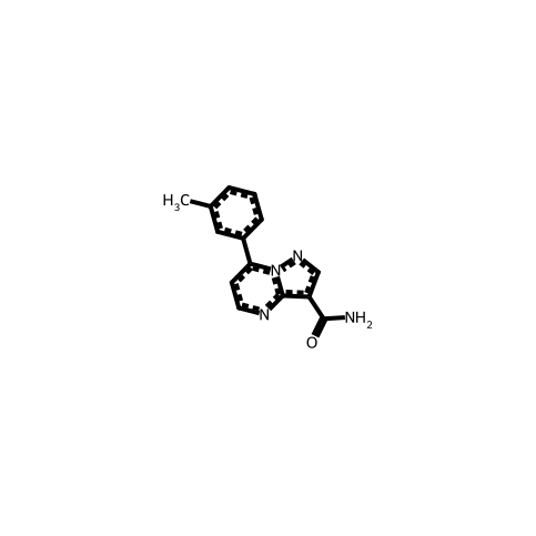 Cc1cccc(-c2ccnc3c(C(N)=O)cnn23)c1